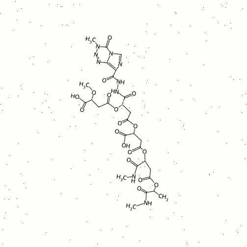 CNC(=O)C(C)OC(=O)CC(OC(=O)CC(OC(=O)CC(OC(=O)CC(OC)C(=O)O)C(=O)NNC(=O)c1ncn2c(=O)n(C)nnc12)C(=O)O)C(=O)NC